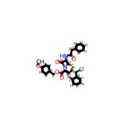 COc1ccc(COC(=O)C2=C(Sc3ccccc3CCl)CSC3C(NC(=O)Cc4ccccc4)C(=O)N23)cc1